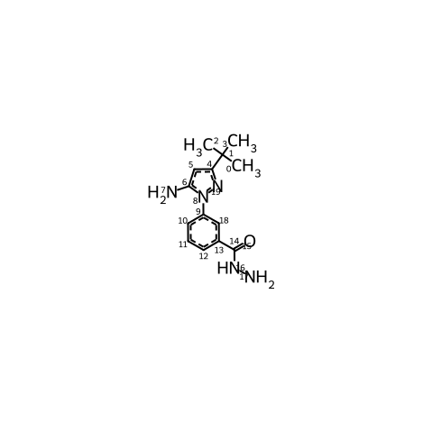 CC(C)(C)c1cc(N)n(-c2cccc(C(=O)NN)c2)n1